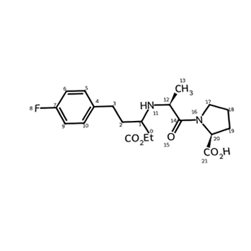 CCOC(=O)C(CCc1ccc(F)cc1)N[C@@H](C)C(=O)N1CCC[C@H]1C(=O)O